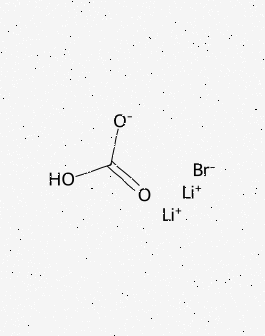 O=C([O-])O.[Br-].[Li+].[Li+]